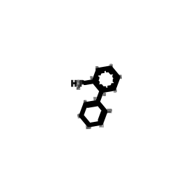 Pc1ccccc1C1=CCCC=C1